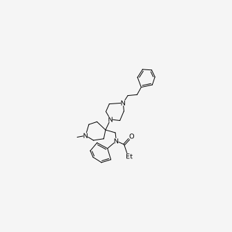 CCC(=O)N(CC1(N2CCN(CCc3ccccc3)CC2)CCN(C)CC1)c1ccccc1